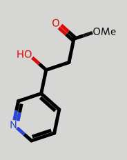 COC(=O)CC(O)c1cccnc1